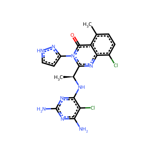 Cc1ccc(Cl)c2nc([C@H](C)Nc3nc(N)nc(N)c3Cl)n(-c3cc[nH]n3)c(=O)c12